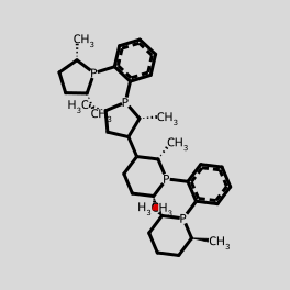 C[C@@H]1CC[C@H](C)P1c1ccccc1P1[C@H](C)C(C2CC[C@@H](C)P(c3ccccc3P3[C@H](C)CCC[C@@H]3C)[C@H]2C)C[C@@H]1C